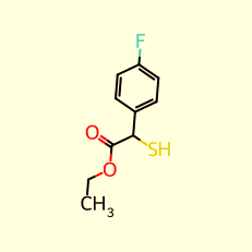 CCOC(=O)C(S)c1ccc(F)cc1